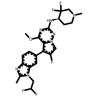 COc1nc(N[C@@H]2CCN(C)CC2(F)F)nn2cc(F)c(-c3ccc4nc(C)n(CC(F)F)c4c3)c12